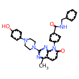 Cc1nc(N2CCN(c3ccc(O)cc3)CC2)nc2c1ccc(=O)n2-c1ccc(C(=O)NCc2ccccc2)cc1